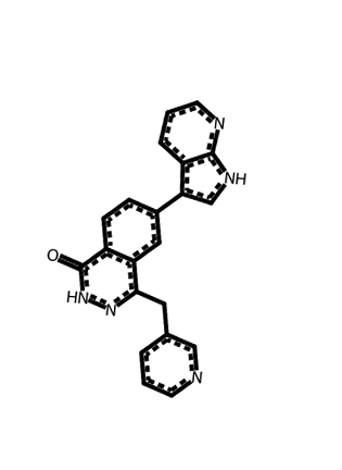 O=c1[nH]nc(Cc2cccnc2)c2cc(-c3c[nH]c4ncccc34)ccc12